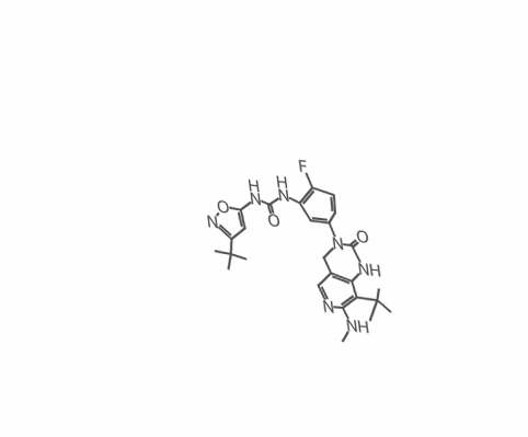 CNc1ncc2c(c1C(C)(C)C)NC(=O)N(c1ccc(F)c(NC(=O)Nc3cc(C(C)(C)C)no3)c1)C2